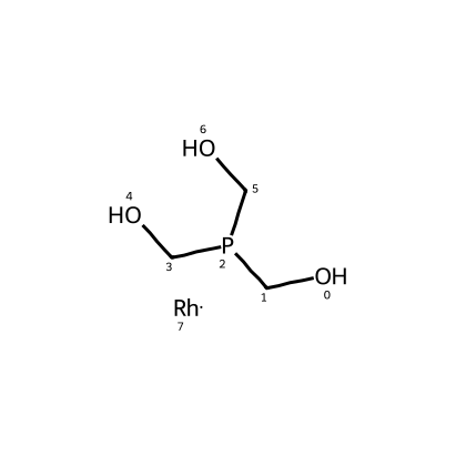 OCP(CO)CO.[Rh]